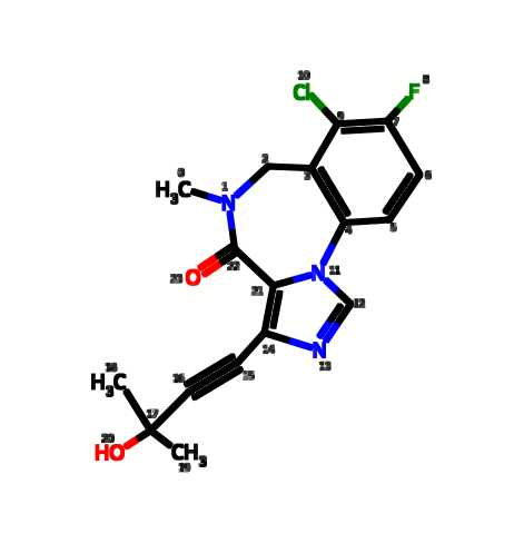 CN1Cc2c(ccc(F)c2Cl)-n2cnc(C#CC(C)(C)O)c2C1=O